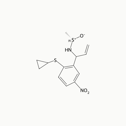 C=CC(N[S@+](C)[O-])c1cc([N+](=O)[O-])ccc1SC1CC1